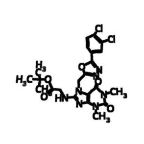 Cn1c(=O)c2c(nc(NCC(=O)OC(C)(C)C)n2Cc2nnc(-c3ccc(Cl)c(Cl)c3)o2)n(C)c1=O